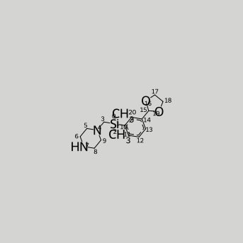 C[Si](C)(CN1CCNCC1)c1cccc(C2OCCO2)c1